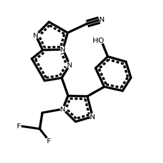 N#Cc1cnc2ccc(-c3c(-c4cccc(O)c4)ncn3CC(F)F)nn12